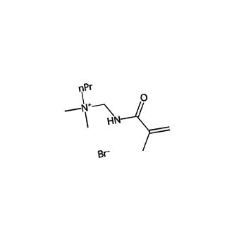 C=C(C)C(=O)NC[N+](C)(C)CCC.[Br-]